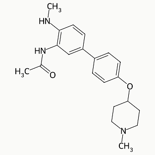 CNc1ccc(-c2ccc(OC3CCN(C)CC3)cc2)cc1NC(C)=O